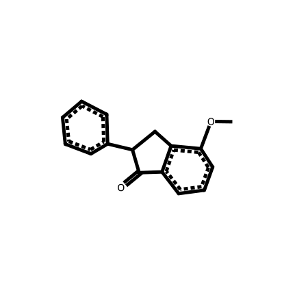 COc1cccc2c1CC(c1ccccc1)C2=O